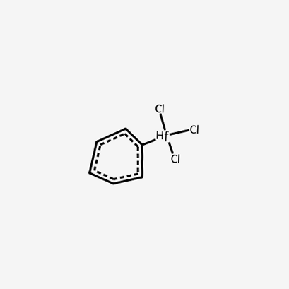 [Cl][Hf]([Cl])([Cl])[c]1ccccc1